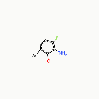 CC(=O)c1ccc(F)c(N)c1O